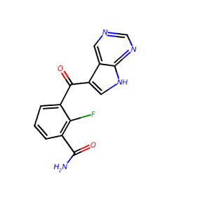 NC(=O)c1cccc(C(=O)c2c[nH]c3ncncc23)c1F